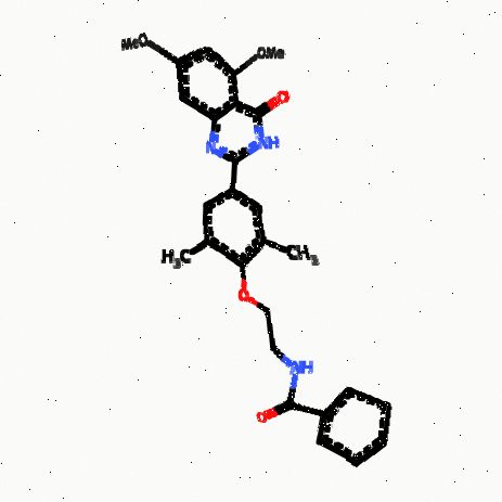 COc1cc(OC)c2c(=O)[nH]c(-c3cc(C)c(OCCNC(=O)c4ccccc4)c(C)c3)nc2c1